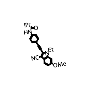 CCn1c(C#Cc2ccc(NC(=O)C(C)C)cc2)c(C#N)c2ccc(OC)cc21